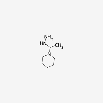 CC(NN)N1CCCCC1